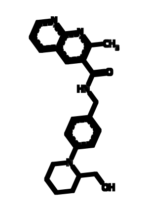 Cc1nc2ncccc2cc1C(=O)NCc1ccc(N2CCCCC2CO)cc1